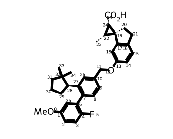 COc1ccc(F)c(-c2ccc(COc3ccc4c(c3)[C@@]3(CC4)[C@H](C)[C@@H]3C(=O)O)cc2[C@H]2CCCC2(C)C)c1